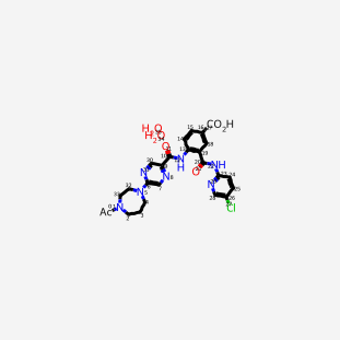 CC(=O)N1CCCN(c2cnc(C(=O)Nc3ccc(C(=O)O)cc3C(=O)Nc3ccc(Cl)cn3)cn2)CC1.O.O